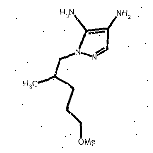 COCCCC(C)Cn1ncc(N)c1N